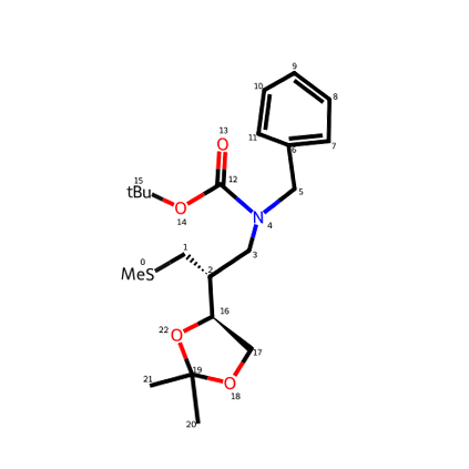 CSC[C@H](CN(Cc1ccccc1)C(=O)OC(C)(C)C)[C@H]1COC(C)(C)O1